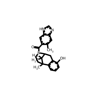 Cc1cc2nc[nH]c2cc1C(=O)N1CCC2(C)c3cccc(O)c3CC1C2(C)C